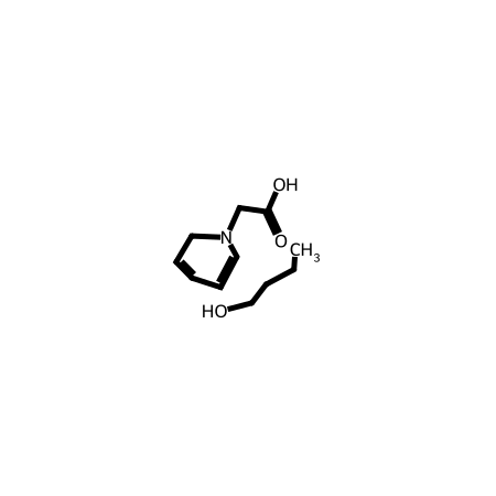 CCCCO.O=C(O)CN1C=CC=CC1